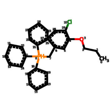 CCCOc1cc(C[PH](c2ccccc2)(c2ccccc2)c2ccccc2)ccc1Cl